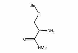 CNC(=O)[C@H](N)COC(C)(C)C